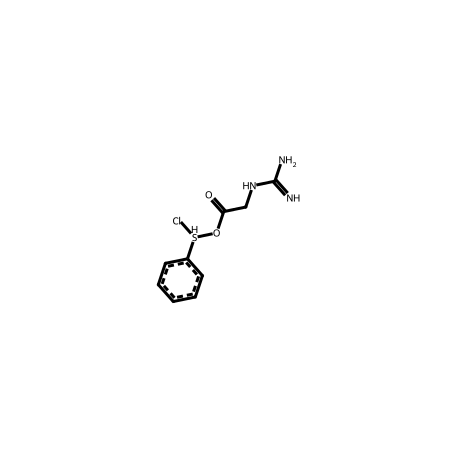 N=C(N)NCC(=O)O[SH](Cl)c1ccccc1